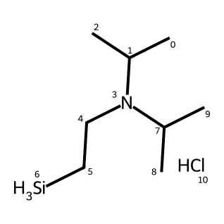 CC(C)N(CC[SiH3])C(C)C.Cl